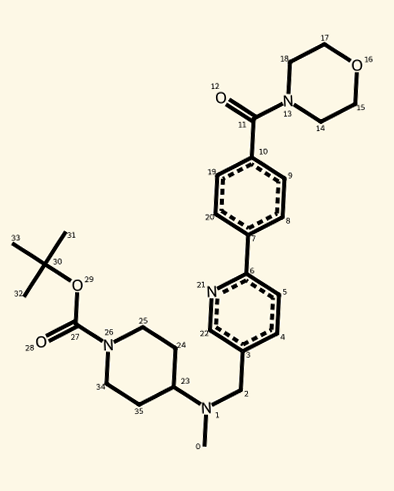 CN(Cc1ccc(-c2ccc(C(=O)N3CCOCC3)cc2)nc1)C1CCN(C(=O)OC(C)(C)C)CC1